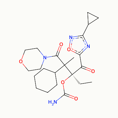 CC[C@@](OC(N)=O)(C(=O)c1nc(C2CC2)no1)C(C)(C(=O)N1CCOCC1)C1CCCCC1